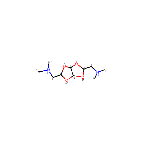 CN(C)CC1OC2OC(CN(C)C)OC2O1